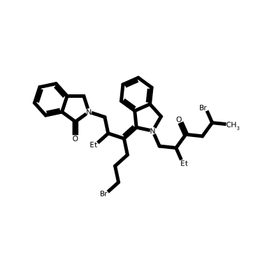 CCC(CN1Cc2ccccc2C1=C(CCCBr)C(CC)CN1Cc2ccccc2C1=O)C(=O)CC(C)Br